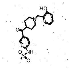 CS(=O)(=O)Nc1ccc(C(=O)C2CCN(Cc3ncccc3O)CC2)cc1